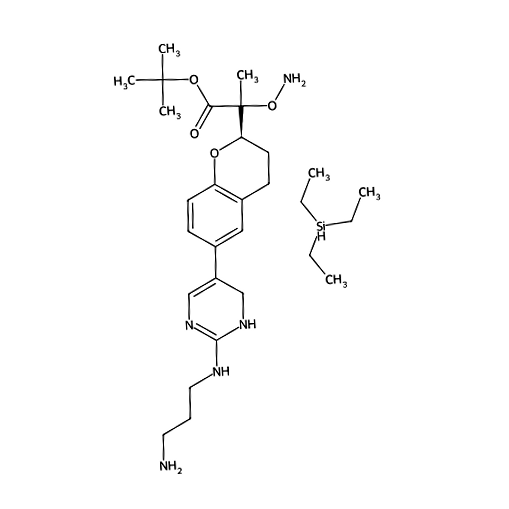 CC(C)(C)OC(=O)C(C)(ON)[C@H]1CCc2cc(C3=CN=C(NCCCN)NC3)ccc2O1.CC[SiH](CC)CC